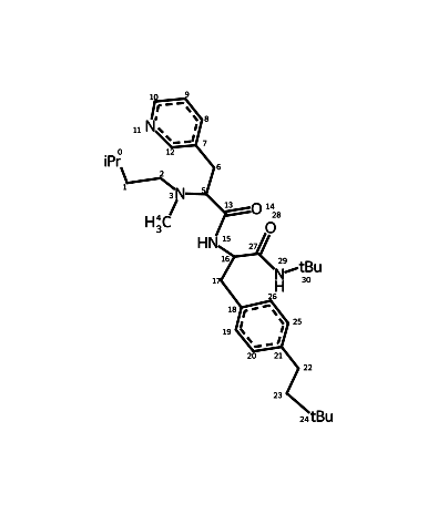 CC(C)CCN(C)C(Cc1cccnc1)C(=O)NC(Cc1ccc(CCC(C)(C)C)cc1)C(=O)NC(C)(C)C